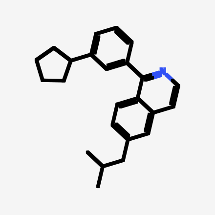 CC(C)Cc1ccc2c(-c3cccc(C4CCCC4)c3)nccc2c1